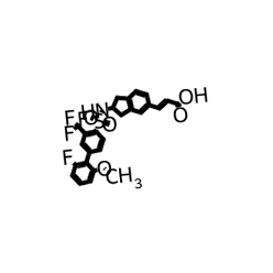 COc1cccc(F)c1-c1ccc(S(=O)(=O)NC2Cc3ccc(C=CC(=O)O)cc3C2)c(C(F)(F)F)c1